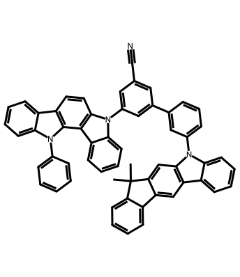 CC1(C)c2ccccc2-c2cc3c4ccccc4n(-c4cccc(-c5cc(C#N)cc(-n6c7ccccc7c7c6ccc6c8ccccc8n(-c8ccccc8)c67)c5)c4)c3cc21